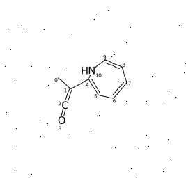 CC(=C=O)C1=CC=CC=CN1